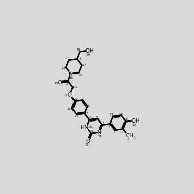 Cc1cc(-c2cc(-c3ccc(OCC(=O)N4CCC(CO)CC4)cc3)[nH]c(=O)n2)ccc1O